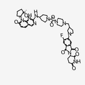 C[C@@]1(O)CCC[C@H]1n1c(=O)ccc2cnc(NC3CCN(S(=O)(=O)N4CCN(CC5CCN(c6cc7c(cc6F)C(=O)N(C6CCC(=O)NC6=O)C7=O)C5)CC4)CC3)nc21